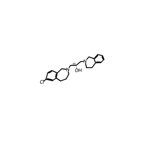 O[C@H](CN1CCCc2cc(Cl)ccc2C1)CN1CCc2ccccc2C1